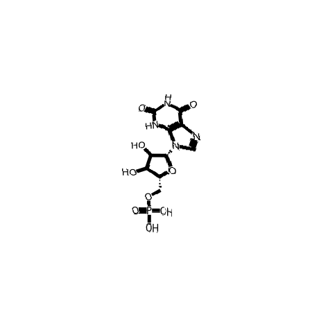 O=c1[nH]c(=O)c2ncn([C@@H]3O[C@H](COP(=O)(O)O)C(O)C3O)c2[nH]1